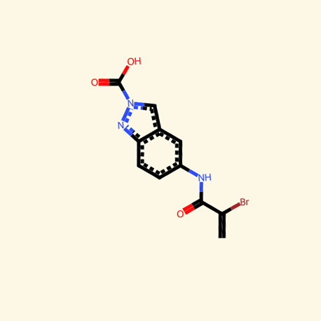 C=C(Br)C(=O)Nc1ccc2nn(C(=O)O)cc2c1